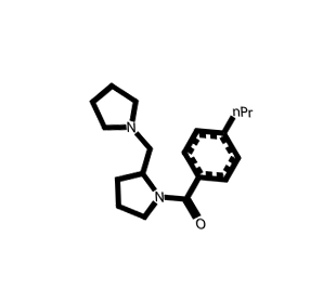 CCCc1ccc(C(=O)N2CCCC2CN2CCCC2)cc1